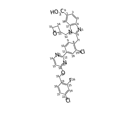 O=C(O)c1ccc2nc(Cc3ccc(-c4nccc(OCc5ccc(Cl)cc5F)n4)cc3Cl)n(CC3CCO3)c2c1